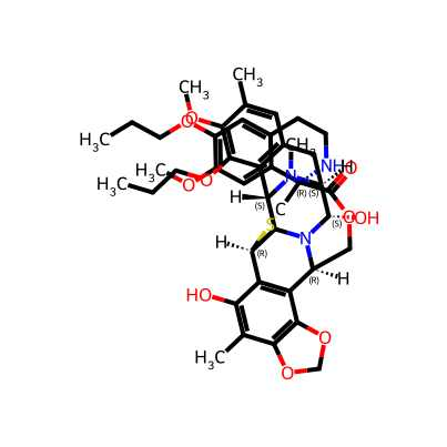 CCCOc1cc2c(cc1OC)[C@@]1(CS[C@@H]3c4c(O)c(C)c5c(c4[C@H](COC1=O)N1C3[C@@H]3c4c(cc(C)c(OC)c4OCCC)C[C@@H]([C@@H]1O)N3C)OCO5)NCC2